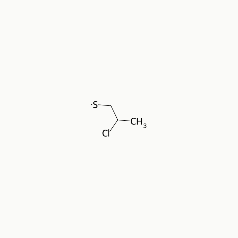 CC(Cl)C[S]